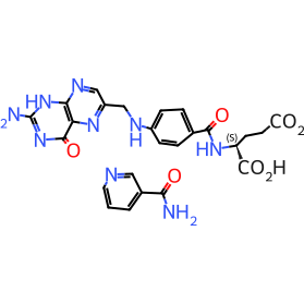 NC(=O)c1cccnc1.Nc1nc(=O)c2nc(CNc3ccc(C(=O)N[C@@H](CCC(=O)O)C(=O)O)cc3)cnc2[nH]1